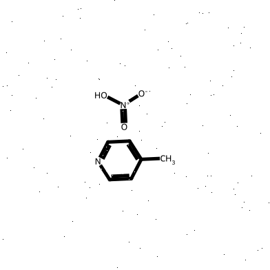 Cc1ccncc1.O=[N+]([O-])O